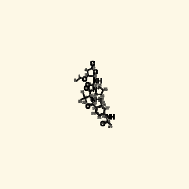 CCO[C@H]1CC(=O)O[C@H]1NC(=O)[N+]1(C(=O)[C@@H](NC(=O)c2ccc(NC(C)=O)cc2F)C(C)(C)C)CCCC1